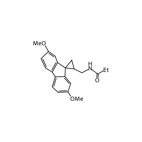 CCC(=O)NCC1CC12c1cc(OC)ccc1-c1ccc(OC)cc12